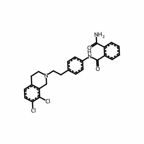 NC(=O)c1ccccc1C(=O)Nc1ccc(CCN2CCc3ccc(Cl)c(Cl)c3C2)cc1